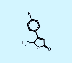 [CH2]C1OC(=O)C=C1c1ccc(Br)cc1